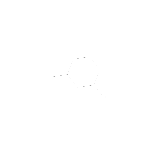 [CH2]C1CCOC(Br)C1